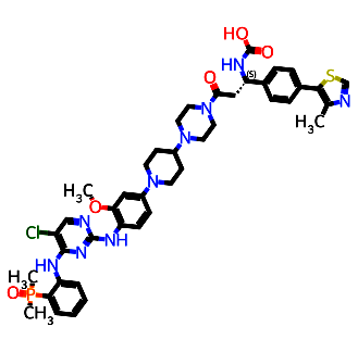 COc1cc(N2CCC(N3CCN(C(=O)C[C@H](NC(=O)O)c4ccc(-c5scnc5C)cc4)CC3)CC2)ccc1Nc1ncc(Cl)c(Nc2ccccc2P(C)(C)=O)n1